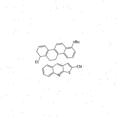 CCCCc1cccc2c3c(ccc12)C1=C(CC3)C(CC)CC=C1.N#Cc1cc2cc3ccccc3nc2s1